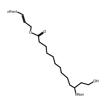 CCCCCC=CCOC(=O)CCCCCCCCCC(CCO)CCCCCCCCC